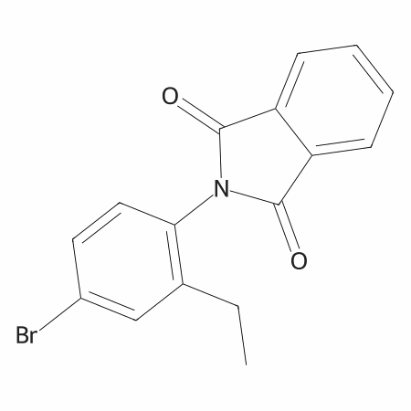 CCc1cc(Br)ccc1N1C(=O)c2ccccc2C1=O